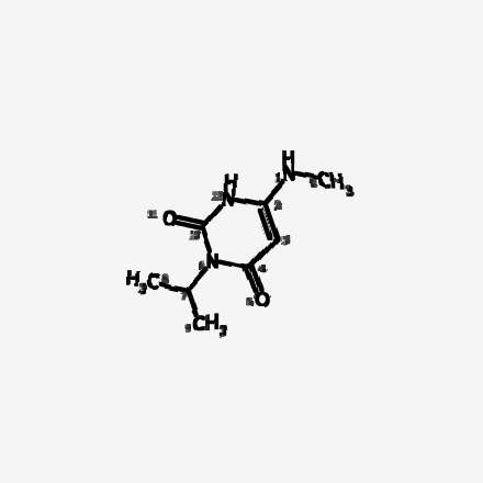 CNc1cc(=O)n(C(C)C)c(=O)[nH]1